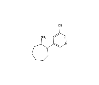 N#Cc1cncc(N2CCCCCC2N)c1